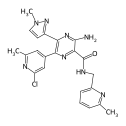 Cc1cc(-c2nc(C(=O)NCc3cccc(C)n3)c(N)nc2-c2ccn(C)n2)cc(Cl)n1